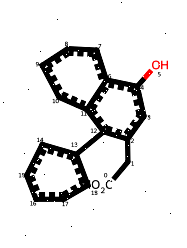 O=C(O)Cc1cc(O)c2ccccc2c1-c1ccccc1